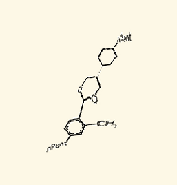 CCCCCc1ccc(C2OCC([C@H]3CC[C@H](CCCCC)CC3)CO2)c(C)c1